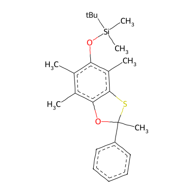 Cc1c(C)c2c(c(C)c1O[Si](C)(C)C(C)(C)C)SC(C)(c1ccccc1)O2